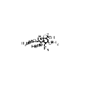 B=BOC(C(O)COB=BB)C1OC(C)(C(=O)O)CC(OB)C1C